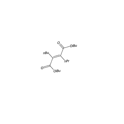 CCCCC(C(=O)OCC(C)C)=C(CCC)C(=O)OCC(C)C